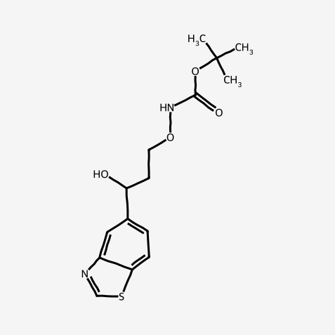 CC(C)(C)OC(=O)NOCCC(O)c1ccc2scnc2c1